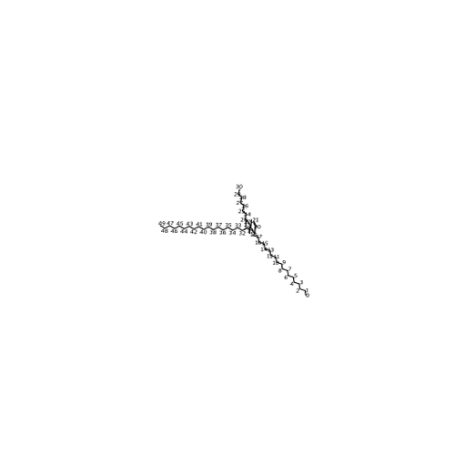 CCCCCCCCCCCCCCCCCCCN1C=CN(CCCCCCCC)C1CCCCCCCCCCCCCCCCCC